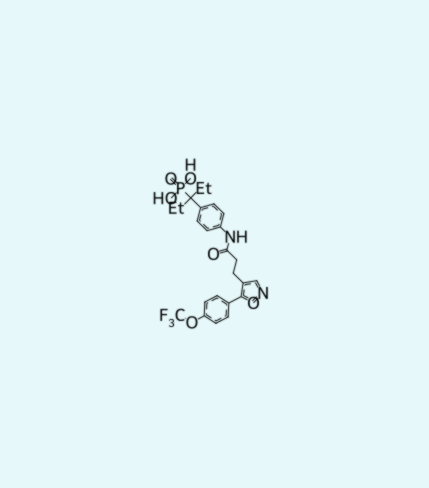 CCC(CC)(c1ccc(NC(=O)CCc2cnoc2-c2ccc(OC(F)(F)F)cc2)cc1)P(=O)(O)O